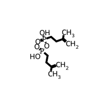 C=C(C)CCP(=O)(O)OP(=O)(O)CCC(=C)C